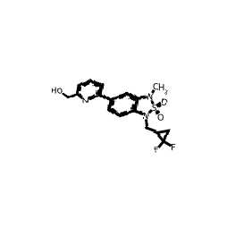 CN1c2cc(-c3cccc(CO)n3)ccc2N(CC2CC2(F)F)S1(=O)=O